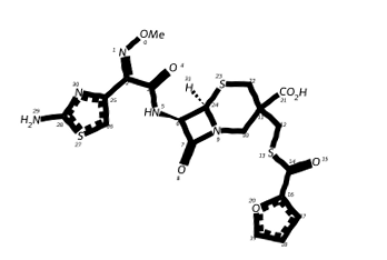 CO/N=C(\C(=O)N[C@@H]1C(=O)N2CC(CSC(=O)c3ccco3)(C(=O)O)CS[C@H]12)c1csc(N)n1